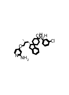 C[C@@H](COc1ccnc(N)c1)C[C@H]1Cc2ccccc2C12CCC(Nc1cccc(Cl)c1)(C(=O)O)CC2